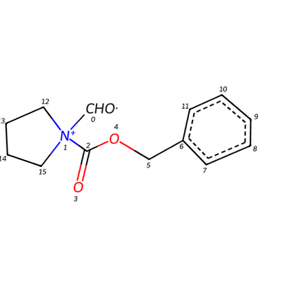 O=[C][N+]1(C(=O)OCc2ccccc2)CCCC1